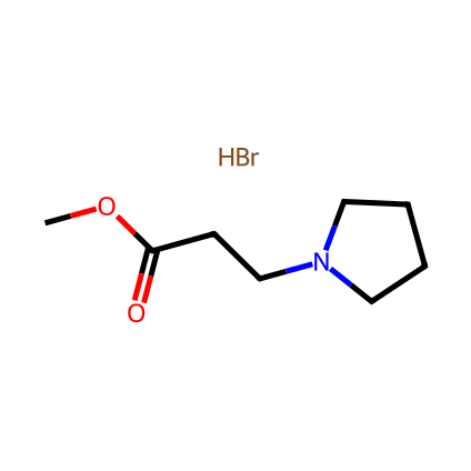 Br.COC(=O)CCN1CCCC1